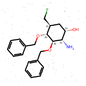 N[C@@H]1[C@@H](OCc2ccccc2)[C@H](OCc2ccccc2)[C@@H](CF)C[C@@H]1O